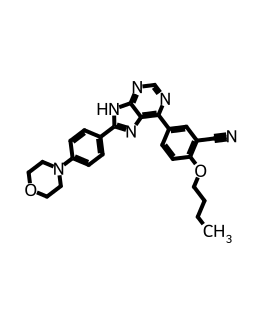 CCCCOc1ccc(-c2ncnc3[nH]c(-c4ccc(N5CCOCC5)cc4)nc23)cc1C#N